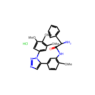 COc1ccc(-c2cnnn2-c2cc(OC)c(OC)c(OC)c2)cc1NC(=O)C(N)c1ccccc1.Cl